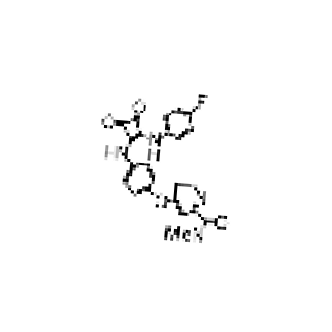 CNC(=O)c1cc(Oc2ccc(Nc3c(Nc4ccc(F)cc4)c(=O)c3=O)cc2)ccn1